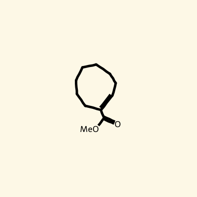 COC(=O)/C1=C/CCCCCCC1